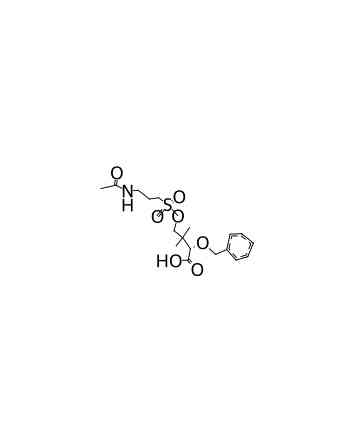 CC(=O)NCCCS(=O)(=O)OCC(C)(C)[C@H](OCc1ccccc1)C(=O)O